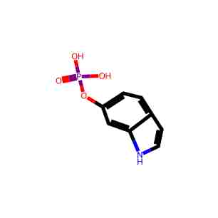 O=P(O)(O)Oc1ccc2cc[nH]c2c1